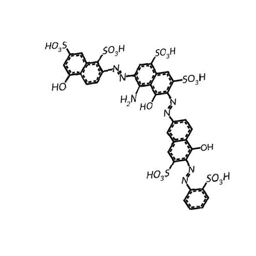 Nc1c(N=Nc2ccc3c(O)cc(S(=O)(=O)O)cc3c2S(=O)(=O)O)cc(S(=O)(=O)O)c2cc(S(=O)(=O)O)c(N=Nc3ccc4c(O)c(N=Nc5ccccc5S(=O)(=O)O)c(S(=O)(=O)O)cc4c3)c(O)c12